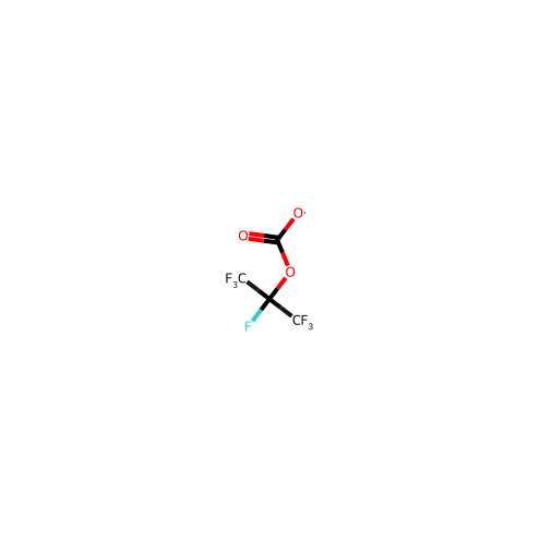 [O]C(=O)OC(F)(C(F)(F)F)C(F)(F)F